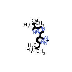 CC(C)(C)Cc1ccc(-c2cncc3c(C(C)(C)C)cnn23)c2ncnn12